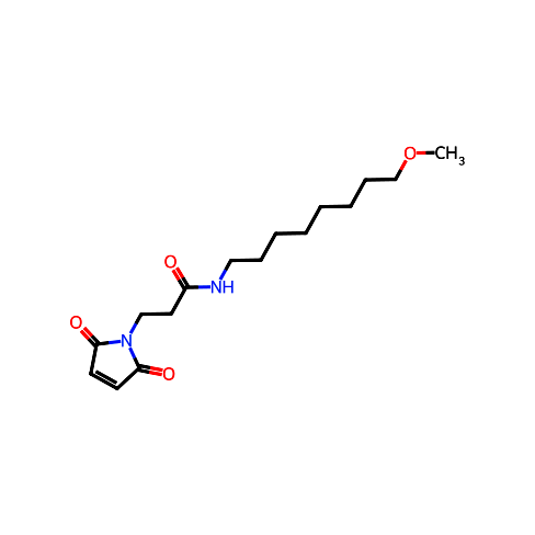 COCCCCCCCCNC(=O)CCN1C(=O)C=CC1=O